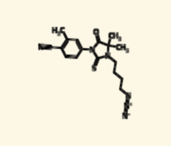 Cc1cc(N2C(=O)C(C)(C)N(CCCCN=[N+]=[N-])C2=S)ccc1C#N